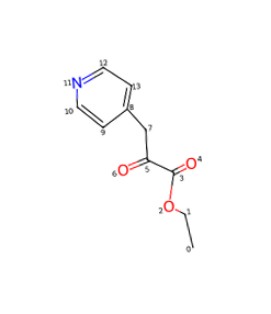 CCOC(=O)C(=O)Cc1ccncc1